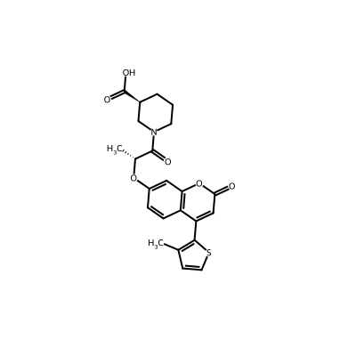 Cc1ccsc1-c1cc(=O)oc2cc(O[C@H](C)C(=O)N3CCC[C@H](C(=O)O)C3)ccc12